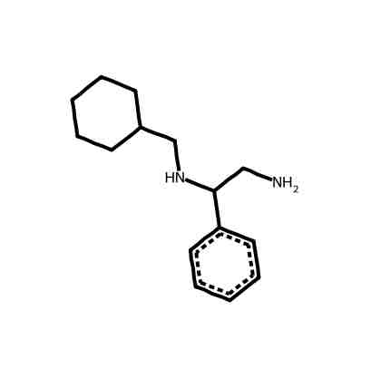 NCC(NCC1CCCCC1)c1ccccc1